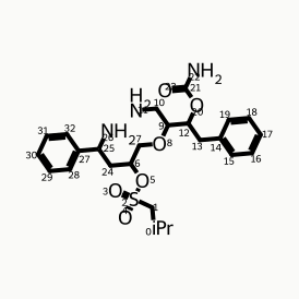 CC(C)CS(=O)(=O)OC(COC(CN)C(Cc1ccccc1)OC(N)=O)CC(N)c1ccccc1